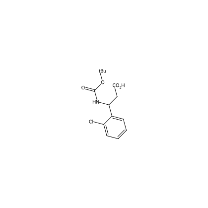 CC(C)(C)OC(=O)NC(CC(=O)O)c1ccccc1Cl